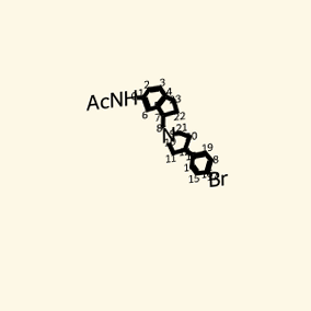 CC(=O)Nc1ccc2c(c1)C(CN1CCC(c3ccc(Br)cc3)CC1)CC2